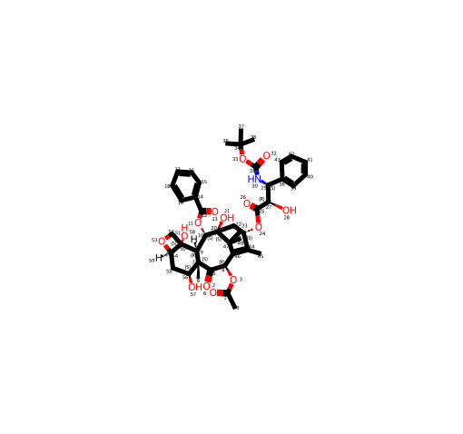 CC(=O)O[C@H]1C(=O)[C@@]2(C)[C@H]([C@H](OC(=O)c3ccccc3)[C@]3(O)C[C@H](OC(=O)[C@H](O)[C@@H](NC(=O)OC(C)(C)C)c4ccccc4)C(C)=C1C3(C)C)[C@]1(O)CO[C@@H]1C[C@@H]2O